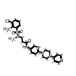 Cc1c(Cl)cccc1S(=O)(=O)N(C)CCC(=O)Nc1ccc(N2CCN(c3ccncc3)CC2)nc1